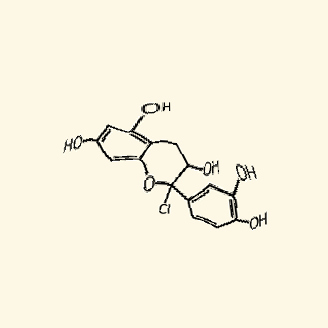 Oc1cc(O)c2c(c1)OC(Cl)(c1ccc(O)c(O)c1)C(O)C2